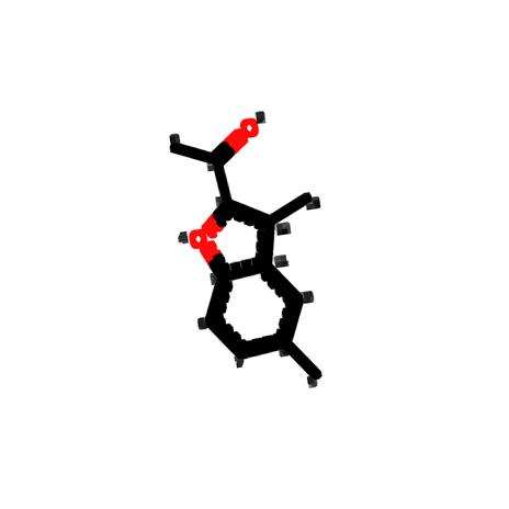 CC(=O)c1oc2ccc(C)cc2c1C